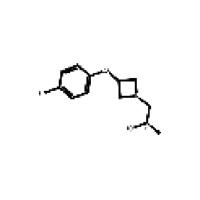 C[C@@H](O)CN1CC(Oc2ccc(Cl)cc2)C1